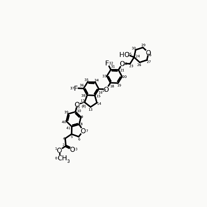 COC(=O)CC1COc2cc(O[C@@H]3CCc4c(Oc5ccc(OCC6(O)CCOCC6)c(F)c5)ccc(F)c43)ccc21